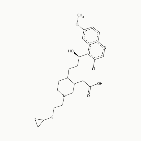 COc1ccc2ncc(Cl)c([C@H](O)CCC3CCN(CCSC4CC4)CC3CC(=O)O)c2c1